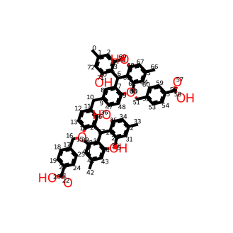 Cc1cc(C)c(C(c2cc(Cc3ccc(OCc4ccc(C(=O)O)cc4)c(C(c4c(C)cc(C)cc4O)c4c(C)cc(C)cc4O)c3)ccc2OCc2ccc(C(=O)O)cc2)c2c(C)cc(C)cc2O)c(O)c1